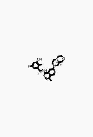 Cc1c(C#N)cc(F)cc1[C@@H](C)Nc1nnc(C)c2cnc(N3CCN4CCOC[C@@H]4C3)cc12